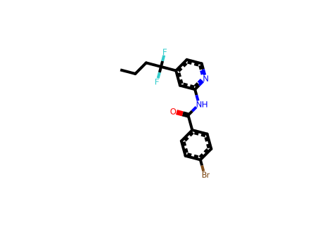 CCCC(F)(F)c1ccnc(NC(=O)c2ccc(Br)cc2)c1